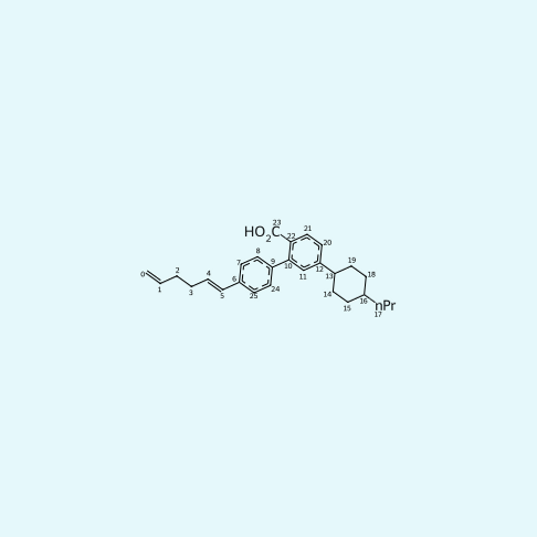 C=CCCC=Cc1ccc(-c2cc(C3CCC(CCC)CC3)ccc2C(=O)O)cc1